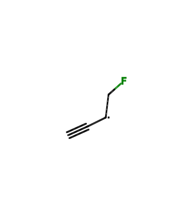 C#C[CH]CF